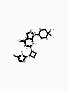 Cc1cnc([C@@H]2CC[C@@H]2c2nc3c(cnn3C3CCC(F)(F)CC3)c(=O)[nH]2)o1